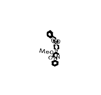 COc1c(N2CCN(S(=O)(=O)Cc3ccccc3)CC2)cnn(-c2ccccc2)c1=O